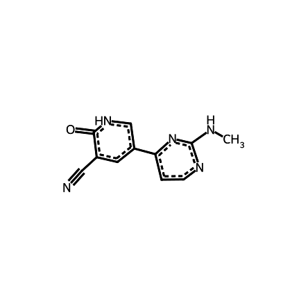 CNc1nccc(-c2c[nH]c(=O)c(C#N)c2)n1